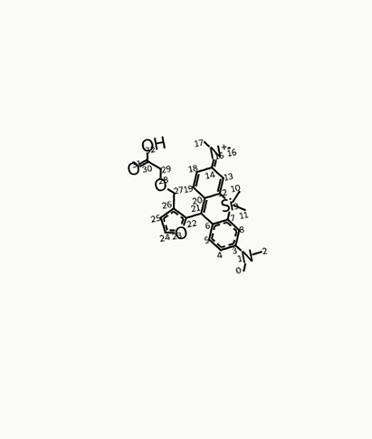 CN(C)c1ccc2c(c1)[Si](C)(C)C1=CC(=[N+](C)C)C=CC1=C2c1occc1COCC(=O)O